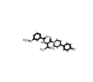 COc1cccc(C(=O)NC(C(=O)N2CCC(c3ccc(Cl)cc3)CC2)C(C)C)c1